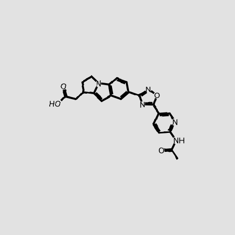 CC(=O)Nc1ccc(-c2nc(-c3ccc4c(c3)cc3n4CCC3CC(=O)O)no2)cn1